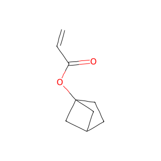 C=CC(=O)OC12CCC(C1)C2